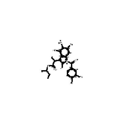 CCC(C)OC(=O)C(C)c1c(C)n(C(=O)c2ccc(F)c(F)c2)c2cc(F)c(O)c(F)c12